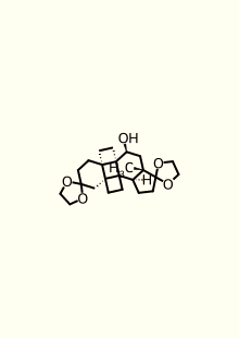 C[C@]12C[C@H](O)[C@]34CC[C@]35CCC3(C[C@]56CCC64[C@@H]1CCC21OCCO1)OCCO3